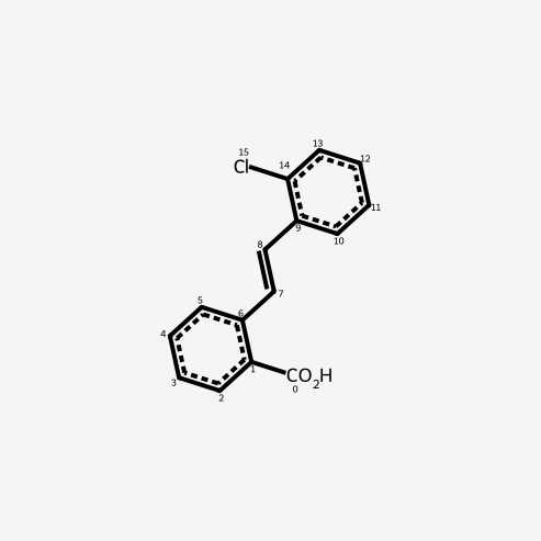 O=C(O)c1ccccc1C=Cc1ccccc1Cl